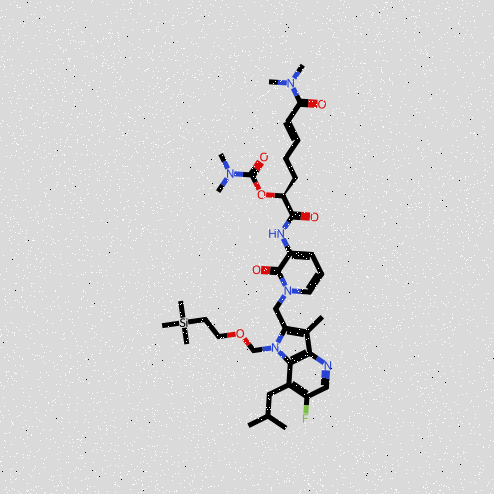 Cc1c(Cn2cccc(NC(=O)[C@H](CC/C=C/C(=O)N(C)C)OC(=O)N(C)C)c2=O)n(COCC[Si](C)(C)C)c2c(CC(C)C)c(F)cnc12